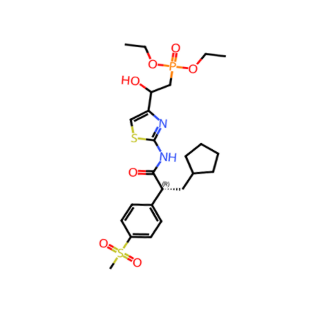 CCOP(=O)(CC(O)c1csc(NC(=O)[C@H](CC2CCCC2)c2ccc(S(C)(=O)=O)cc2)n1)OCC